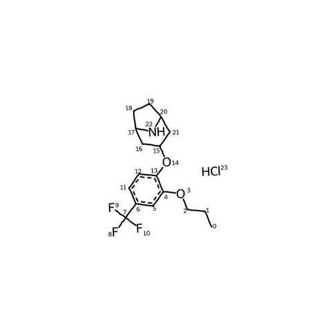 CCCOc1cc(C(F)(F)F)ccc1OC1CC2CCC(C1)N2.Cl